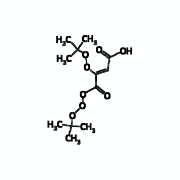 CC(C)(C)OOOC(=O)C(=CC(=O)O)OOC(C)(C)C